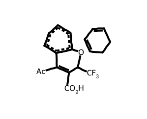 C1=CCCC=C1.CC(=O)C1=C(C(=O)O)C(C(F)(F)F)Oc2ccccc21